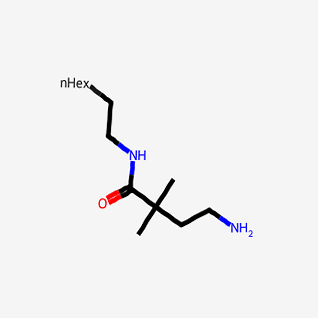 CCCCCCCCNC(=O)C(C)(C)CCN